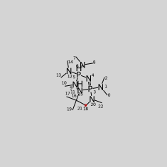 CN(C)P(=N[PH](N(C)C)(N(C)C)N(C)C)(NC(C)(C)C)N(C)C